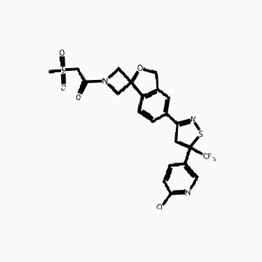 CS(=O)(=O)CC(=O)N1CC2(C1)OCc1cc(C3=NSC(c4ccc(Cl)nc4)(C(F)(F)F)C3)ccc12